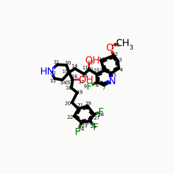 COc1ccc2ncc(F)c([C@H](O)CCC3([C@@H](O)CCCc4cc(F)c(F)c(F)c4)CCNCC3)c2c1